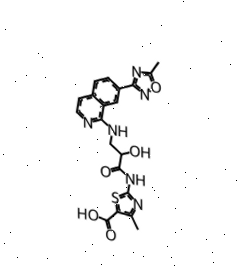 Cc1nc(-c2ccc3ccnc(NCC(O)C(=O)Nc4nc(C)c(C(=O)O)s4)c3c2)no1